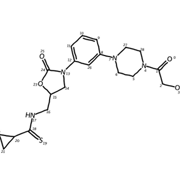 O=C(CO)N1CCN(c2cccc(N3CC(CNC(=S)C4CC4)OC3=O)c2)CC1